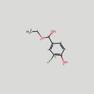 CCOC(O)c1ccc(O)c(F)c1